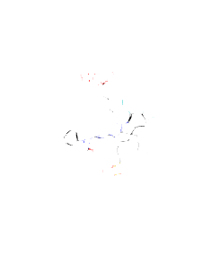 CC(=O)N(/C=C/C=C/C1=[N+](CCCCCC(=O)O)c2c(F)c(F)c(F)c(F)c2C1(C)CCCCS(=O)(=O)O)c1ccccc1